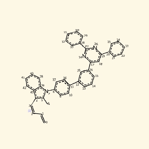 C=C/C=C\c1c(C)n(-c2ccc(-c3cccc(-c4cc(-c5ccccc5)nc(-c5ccccc5)n4)c3)cc2)c2ccccc12